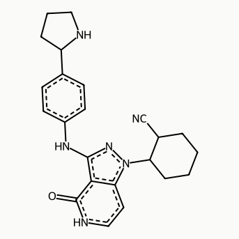 N#CC1CCCCC1n1nc(Nc2ccc(C3CCCN3)cc2)c2c(=O)[nH]ccc21